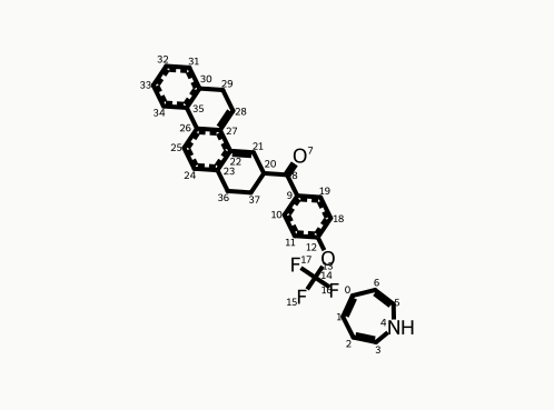 C1=CC=CNC=C1.O=C(c1ccc(OC(F)(F)F)cc1)C1C=c2c(ccc3c2=CCc2ccccc2-3)CC1